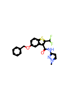 Cn1ccc(NC(=O)c2c(C(F)F)sc3ccc(OCc4ccccc4)cc23)n1